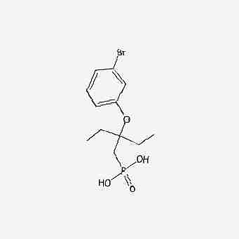 CCC(CC)(CP(=O)(O)O)Oc1cccc(Br)c1